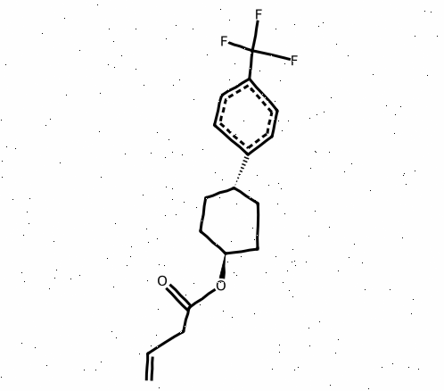 C=CCC(=O)O[C@H]1CC[C@H](c2ccc(C(F)(F)F)cc2)CC1